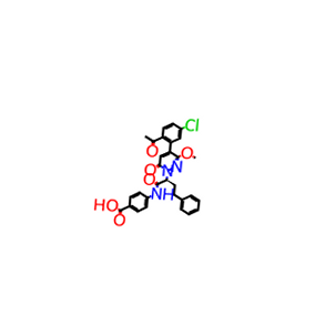 COc1nn([C@@H](CCc2ccccc2)C(=O)Nc2ccc(C(=O)O)cc2)c(=O)cc1-c1cc(Cl)ccc1C(C)=O